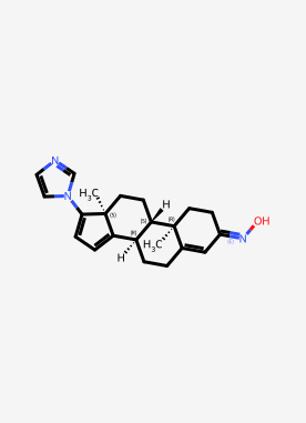 C[C@]12CC[C@H]3[C@@H](CCC4=C/C(=N/O)CC[C@@]43C)C1=CC=C2n1ccnc1